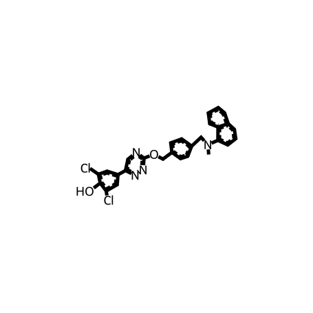 CN(Cc1ccc(COc2ncc(-c3cc(Cl)c(O)c(Cl)c3)nn2)cc1)c1cccc2ccccc12